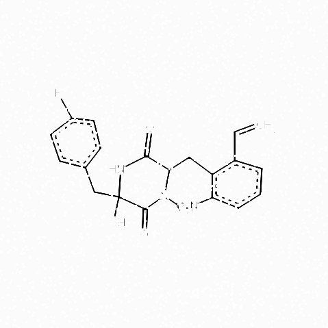 C=Cc1cccc([N+](=O)[O-])c1CC1C(=O)NC(C)(Cc2ccc(F)cc2)C(=O)N1C